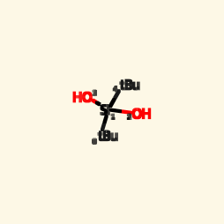 CC(C)(C)[Si](O)(O)C(C)(C)C